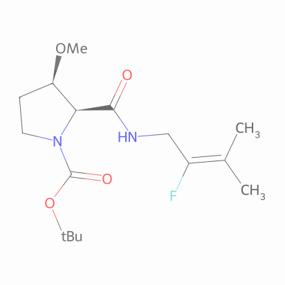 CO[C@@H]1CCN(C(=O)OC(C)(C)C)[C@@H]1C(=O)NCC(F)=C(C)C